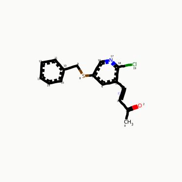 CC(=O)/C=C/c1cc(SCc2ccccc2)cnc1Cl